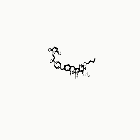 CCCCOc1nc(N)c2[nH]nc(Cc3ccc(CN4CCN(C(=O)CCN5C(=O)C=CC5=O)CC4)cc3OC)c2n1